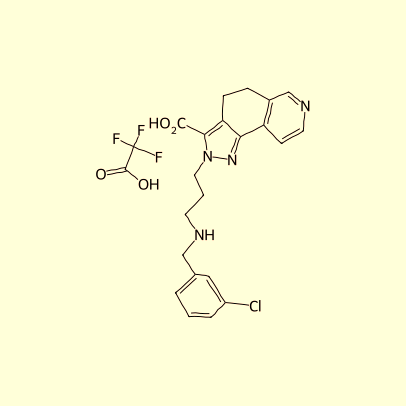 O=C(O)C(F)(F)F.O=C(O)c1c2c(nn1CCCNCc1cccc(Cl)c1)-c1ccncc1CC2